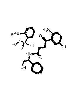 CC(=O)Nc1ccccc1[As](=O)(O)OO.Nc1ccc(Cl)cc1C(=O)CCC(=O)NC(CO)c1ccccc1